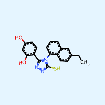 CCc1ccc2c(-n3c(S)nnc3-c3ccc(O)cc3O)cccc2c1